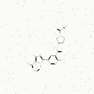 CCOc1ccc(-c2cc(C(F)(F)F)c3c(N)ncnn23)cc1C(=O)N[C@@H]1CN(C(=O)C(C)(O)C(F)(F)F)C[C@@H]1F